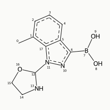 Cc1cccc2c(B(O)O)nn(C3NCCO3)c12